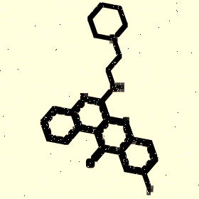 O=c1c2cc(F)ccc2sc2c(NCCN3CCCCC3)nc3ccccc3c12